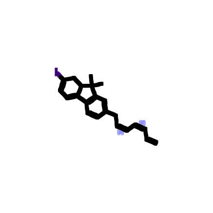 C=C/C=C\C=C/Cc1ccc2c(c1)C(C)(C)C1CC(I)=CC=C21